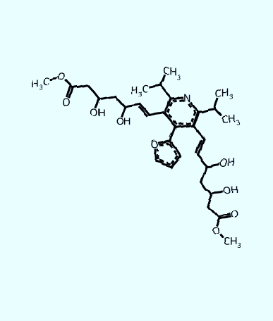 COC(=O)CC(O)CC(O)C=Cc1c(C(C)C)nc(C(C)C)c(C=CC(O)CC(O)CC(=O)OC)c1-c1ccco1